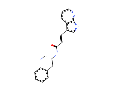 Cl.NC[C@@H](Cc1ccccc1)NC(=O)/C=C/c1c[nH]c2ncccc12